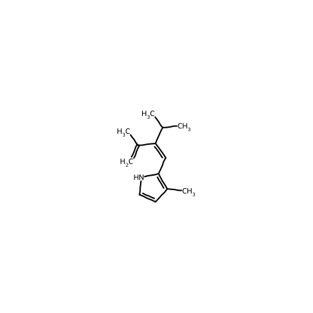 C=C(C)/C(=C\c1[nH]ccc1C)C(C)C